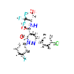 O=C(N[C@@H](CO)C(F)(F)F)c1cc(-c2ccc(Cl)cc2)nn(-c2cccc(F)c2)c1=O